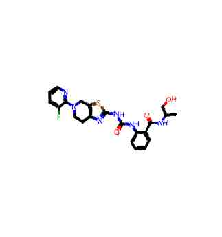 CC(CO)NC(=O)c1ccccc1NC(=O)Nc1nc2c(s1)CN(c1ncccc1F)CC2